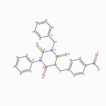 CC(=O)c1ccc(CC2C(=O)N(Cc3ccccc3)C(=O)N(c3ccccc3)C2=O)cc1